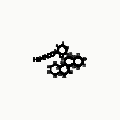 N=C=O.O=c1cccco1.c1ccc2c(c1)ccc1c3c(ccc12)CCCC3